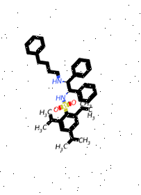 CC(C)c1cc(C(C)C)c(S(=O)(=O)N[C@@H](c2ccccc2)[C@H](NCCCCC2=CCC=CC2)c2ccccc2)c(C(C)C)c1